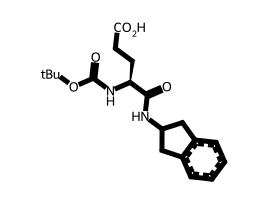 CC(C)(C)OC(=O)N[C@@H](CCC(=O)O)C(=O)NC1Cc2ccccc2C1